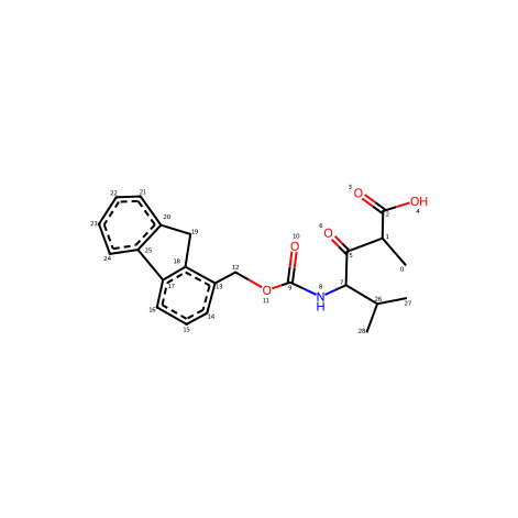 CC(C(=O)O)C(=O)C(NC(=O)OCc1cccc2c1Cc1ccccc1-2)C(C)C